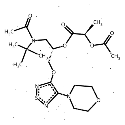 CC(=O)O[C@H](C)C(=O)O[C@H](COc1nsnc1N1CCOCC1)CN(C(C)=O)C(C)(C)C